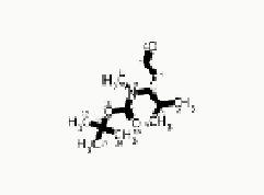 CC(C)[C@@H](CC=O)N(C)C(=O)OC(C)(C)C